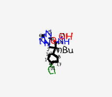 CCCCC(Cn1cncn1)(C(=O)NO)c1ccc(Cl)cc1